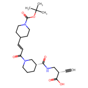 C#C[C@@H](CNC(=O)[C@@H]1CCCN(C(=O)/C=C/C2CCN(C(=O)OC(C)(C)C)CC2)C1)C(=O)O